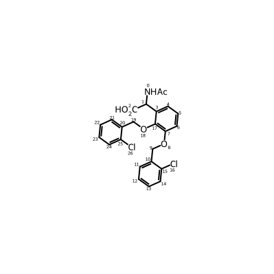 CC(=O)NC(C(=O)O)c1cccc(OCc2ccccc2Cl)c1OCc1ccccc1Cl